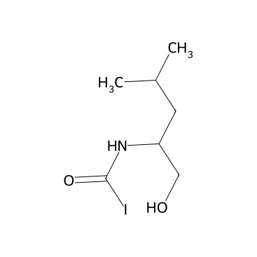 CC(C)CC(CO)NC(=O)I